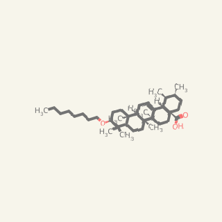 CCCCCCCCO[C@H]1CC[C@@]2(C)C(CC[C@]3(C)[C@@H]2CC=C2[C@@H]4[C@@H](C)[C@H](C)CC[C@]4(C(=O)O)CC[C@]23C)C1(C)C